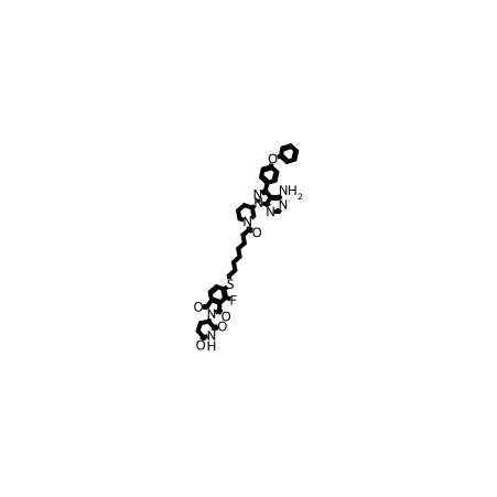 Nc1ncnc2c1c(-c1ccc(Oc3ccccc3)cc1)nn2C1CCCN(C(=O)CCCCCCCSc2ccc3c(c2F)C(=O)N(C2CCC(=O)NC2=O)C3=O)C1